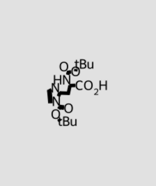 CC(C)(C)OC(=O)NC(Cc1nccn1C(=O)OC(C)(C)C)C(=O)O